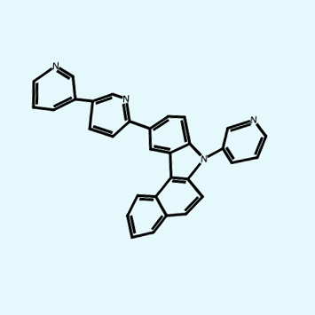 c1cncc(-c2ccc(-c3ccc4c(c3)c3c5ccccc5ccc3n4-c3cccnc3)nc2)c1